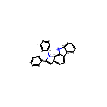 c1ccc(-c2cc3ccc4c5ccccc5[nH]c4c3n2-c2ccccc2)cc1